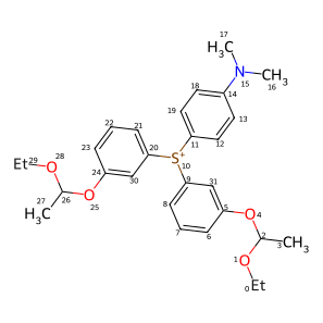 CCOC(C)Oc1cccc([S+](c2ccc(N(C)C)cc2)c2cccc(OC(C)OCC)c2)c1